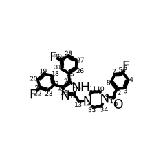 O=C(c1ccc(F)cc1)N1CCN(Cc2nc(-c3cccc(F)c3)c(-c3cccc(F)c3)[nH]2)CC1